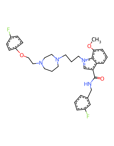 COc1cccc2c(C(=O)NCc3cccc(F)c3)cn(CCCN3CCCN(CCOc4ccc(F)cc4)CC3)c12